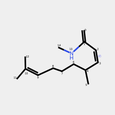 C=C(/C=C\C(C)CCCC=C(C)C)NC